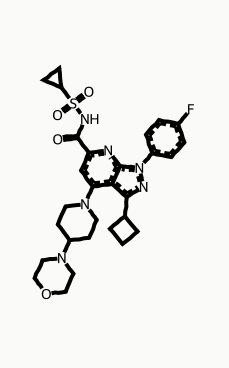 O=C(NS(=O)(=O)C1CC1)c1cc(N2CCC(N3CCOCC3)CC2)c2c(C3CCC3)nn(-c3ccc(F)cc3)c2n1